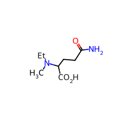 CCN(C)C(CCC(N)=O)C(=O)O